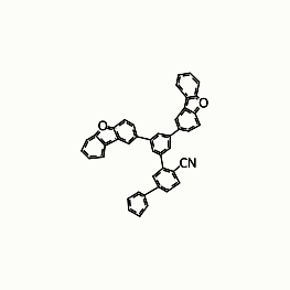 N#Cc1ccc(-c2ccccc2)cc1-c1cc(-c2ccc3oc4ccccc4c3c2)cc(-c2ccc3oc4ccccc4c3c2)c1